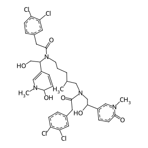 CC(CCCN(C(=O)Cc1ccc(Cl)c(Cl)c1)C(CO)C1=CN(C)C(O)C=C1)CN(CC(O)c1ccc(=O)n(C)c1)C(=O)Cc1ccc(Cl)c(Cl)c1